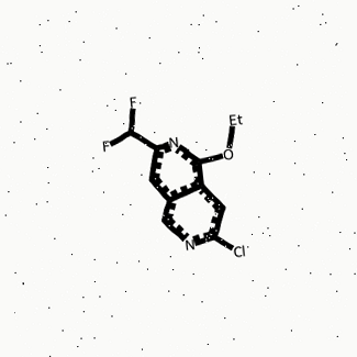 CCOc1nc(C(F)F)cc2cnc(Cl)cc12